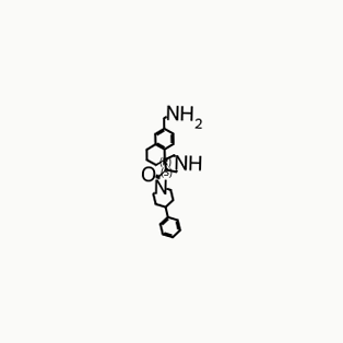 NCc1ccc2c(c1)CCC[C@]21CNC[C@H]1C(=O)N1CCC(c2ccccc2)CC1